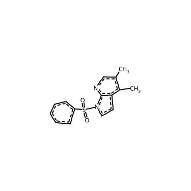 Cc1cnc2c(ccn2S(=O)(=O)c2ccccc2)c1C